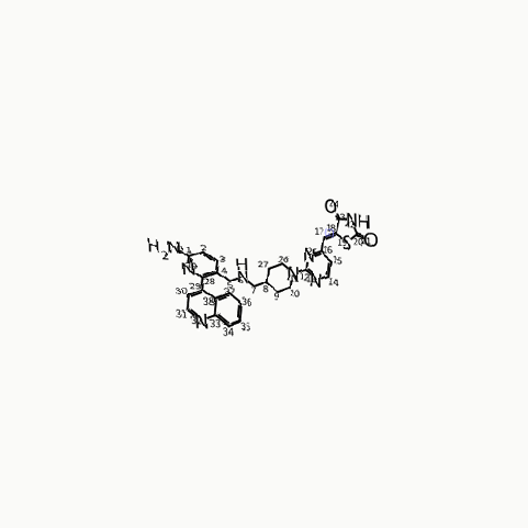 Nc1ccc(CNCC2CCN(c3nccc(/C=C4\SC(=O)NC4=O)n3)CC2)c(-c2ccnc3ccccc23)n1